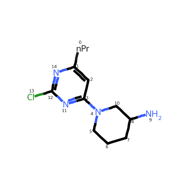 CCCc1cc(N2CCCC(N)C2)nc(Cl)n1